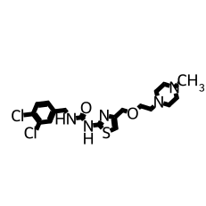 CN1CCN(CCOCc2csc(NC(=O)NCc3ccc(Cl)c(Cl)c3)n2)CC1